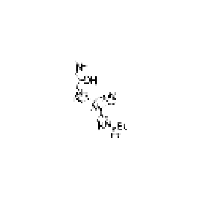 CCC(CC)n1cc(-c2nc(-c3cnn(CC(O)CN(C)C)c3)cn3nccc23)cn1